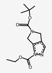 CCOC(=O)n1ncc2c1CN(C(=O)OC(C)(C)C)C2